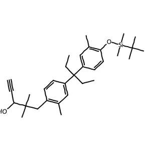 C#CC(O)C(C)(C)Cc1ccc(C(CC)(CC)c2ccc(O[Si](C)(C)C(C)(C)C)c(C)c2)cc1C